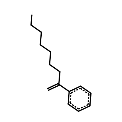 C=C(CCCCCCI)c1ccccc1